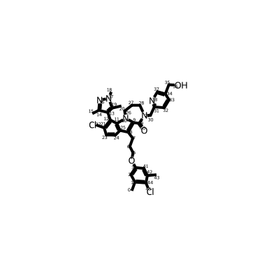 Cc1cc(OCCCc2c3n(c4c(-c5c(C)nn(C)c5C)c(Cl)ccc24)CCCN(Cc2ccc(CO)cn2)C3=O)cc(C)c1Cl